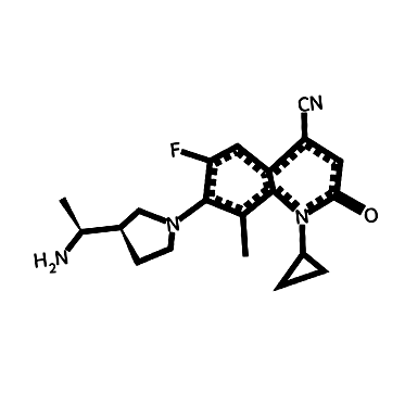 Cc1c(N2CC[C@@H]([C@H](C)N)C2)c(F)cc2c(C#N)cc(=O)n(C3CC3)c12